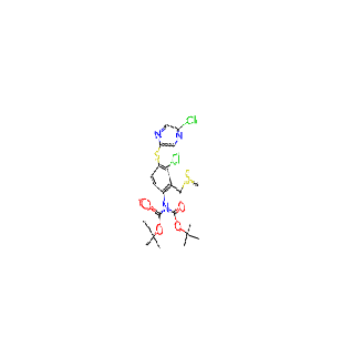 CSCc1c(N(C(=O)OC(C)(C)C)C(=O)OC(C)(C)C)ccc(Sc2cnc(Cl)cn2)c1Cl